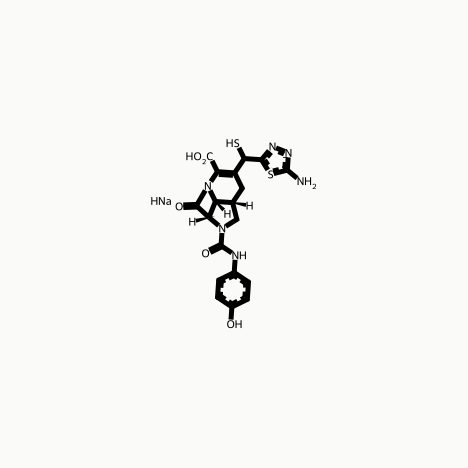 Nc1nnc(C(S)C2=C(C(=O)O)N3C(=O)[C@@H]4[C@H]3[C@H](C2)CN4C(=O)Nc2ccc(O)cc2)s1.[NaH]